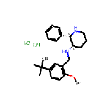 CC(C)Oc1ccc(C(C)(C)C#N)cc1CN[C@H]1CCCN[C@H]1c1ccccc1.Cl.Cl